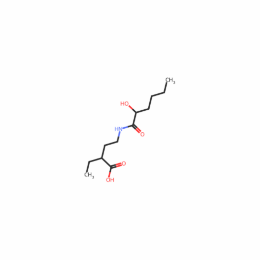 CCCCC(O)C(=O)NCCC(CC)C(=O)O